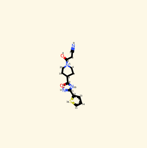 N#CCC(=O)N1CCC(c2nc(-c3cccs3)no2)CC1